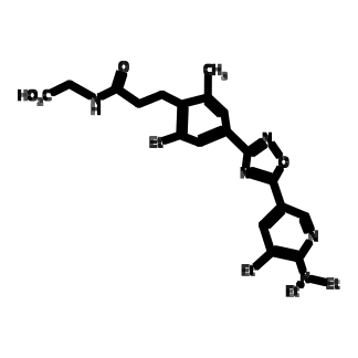 CCc1cc(-c2nc(-c3cc(C)c(CCC(=O)NCC(=O)O)c(CC)c3)no2)cnc1N(CC)CC